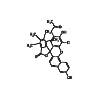 CC(=O)Cc1cc2c(c(Cl)c1O)Oc1c(ccc3cc(O)ccc13)C21OC(=O)c2c(C)c(C)c(C)c(C)c21